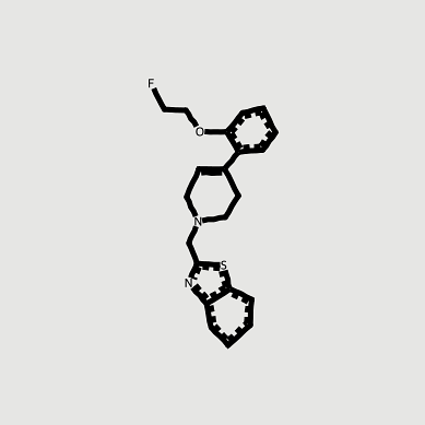 FCCOc1ccccc1C1=CCN(Cc2nc3ccccc3s2)CC1